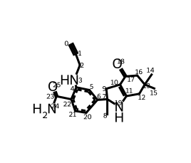 C#CCNc1cc(C2(C)CC3=C(CC(C)(C)CC3=O)N2)ccc1C(N)=O